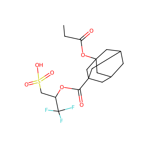 CCC(=O)OC12CC3CC(C1)CC(C(=O)OC(CS(=O)(=O)O)C(F)(F)F)(C3)C2